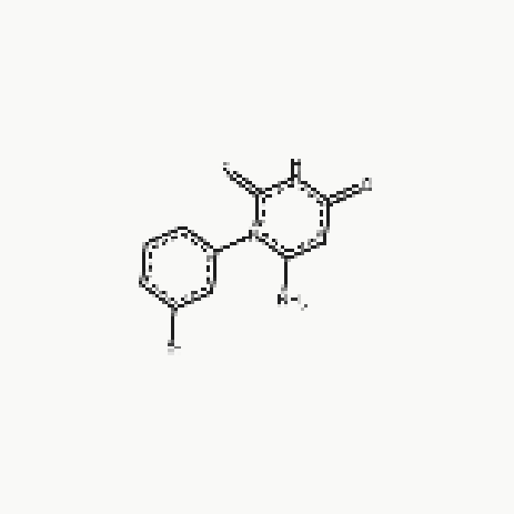 CCc1cccc(-n2c(N)cc(=O)[nH]c2=S)c1